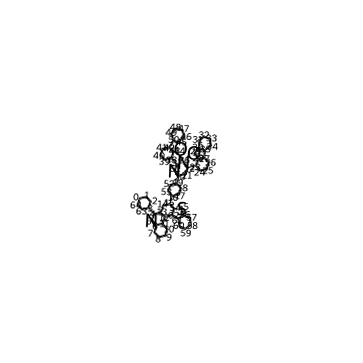 c1ccc(-c2nc3ccccc3c3c2cc(-c2ccc(-c4cc(-c5cccc6c5oc5ccccc56)nc(-c5cccc6c5oc5ccccc56)n4)cc2)c2sc4ccccc4c23)cc1